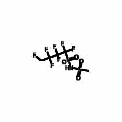 CS(=O)(=O)NS(=O)(=O)C(F)(F)C(F)(F)C(F)(F)CF